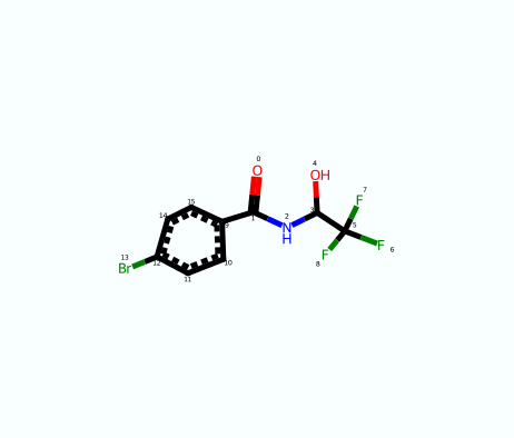 O=C(NC(O)C(F)(F)F)c1ccc(Br)cc1